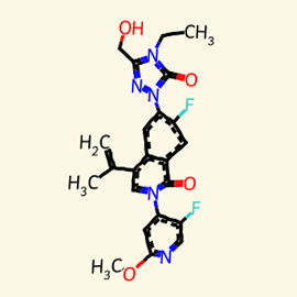 C=C(C)c1cn(-c2cc(OC)ncc2F)c(=O)c2cc(F)c(-n3nc(CO)n(CC)c3=O)cc12